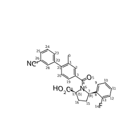 Cc1cc(C(=O)N2[C@@H](c3ccccc3F)CC[C@H]2C(=O)O)ccc1-c1cccc(C#N)c1